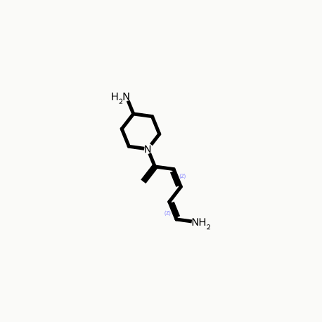 C=C(/C=C\C=C/N)N1CCC(N)CC1